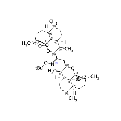 C[C@H]1[C@@H](/C(C[C@H]2O[C@@H]3C[C@]4(C)CC[C@H]5[C@H](C)CC[C@@H]([C@H]2C)[C@@]35OO4)=N\OC(C)(C)C)O[C@@H]2C[C@]3(C)CC[C@H]4[C@H](C)CC[C@@H]1[C@@]24OO3